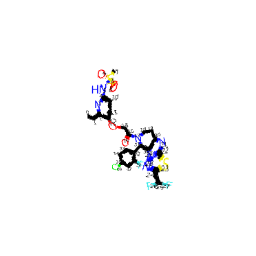 CCc1nc(NS(C)(=O)=O)ccc1OCC(=O)N1CCc2nc3sc(C(F)F)nn3c2C1c1ccc(Cl)cc1F